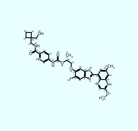 COc1cnc2c(-c3nc4cc(F)c(OC[C@@H](C)OC(=O)Nc5ccc(C(=O)NCC6(CO)CCC6)nc5)cc4s3)cc(C)cc2n1